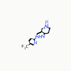 FC(F)(F)c1ccc(-n2cc3c(n2)CCNC3)nc1